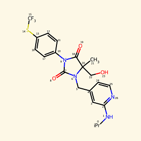 CC(C)Nc1cc(CN2C(=O)N(c3ccc(SC(F)(F)F)cc3)C(=O)C2(C)CO)ccn1